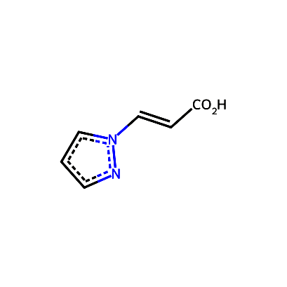 O=C(O)C=Cn1cccn1